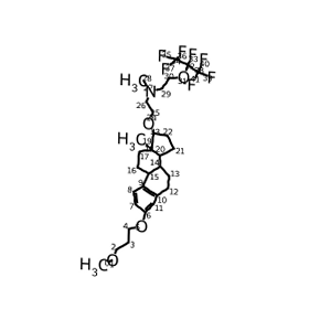 COCCCOc1ccc2c(c1)CCC1C2CC[C@@]2(C)C1CC[C@@H]2OCCN(C)CCOC(F)(C(F)(F)F)C(F)(F)F